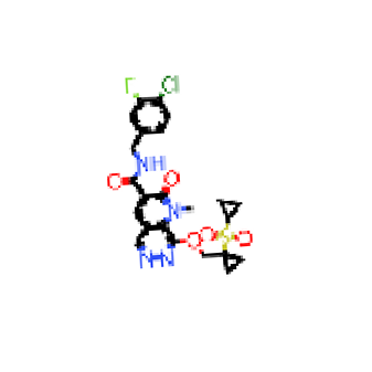 Cn1c(=O)c(C(=O)NCc2ccc(Cl)c(F)c2)cc2cnnc(OCC3(S(=O)(=O)C4CC4)CC3)c21